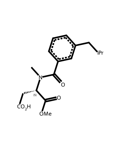 COC(=O)[C@H](CC(=O)O)N(C)C(=O)c1cccc(CC(C)C)c1